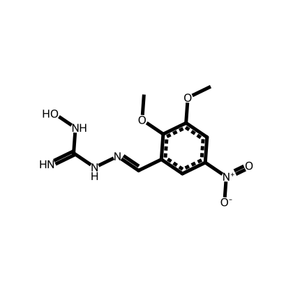 COc1cc([N+](=O)[O-])cc(/C=N/NC(=N)NO)c1OC